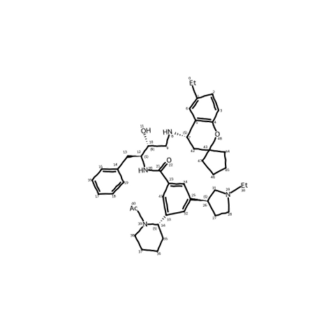 CCc1ccc2c(c1)[C@@H](NC[C@@H](O)[C@H](Cc1ccccc1)NC(=O)c1cc([C@@H]3CCN(CC)C3)cc([C@@H]3CCCCN3C(C)=O)c1)CC1(CCCC1)O2